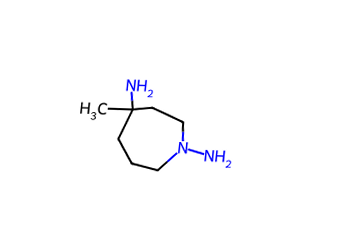 CC1(N)CCCN(N)CC1